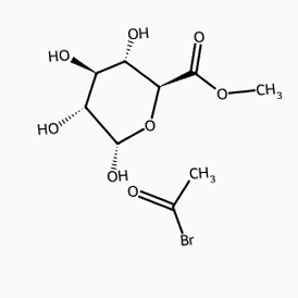 CC(=O)Br.COC(=O)[C@H]1O[C@H](O)[C@H](O)[C@@H](O)[C@@H]1O